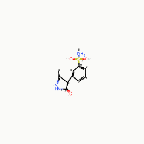 CC1=NNC(=O)C1c1cccc(S(N)(=O)=O)c1